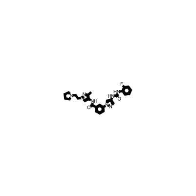 Cc1nn(CCN2CCCC2)cc1NC(=O)c1cccc(-n2cc(NC(=O)Nc3ccccc3F)cn2)c1